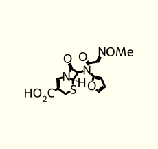 CON=CC(=O)N(c1ccco1)C1C(=O)N2C=C(C(=O)O)CS[C@H]12